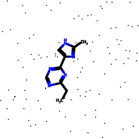 CCc1ncnc(-c2c[nH]c(C)n2)n1